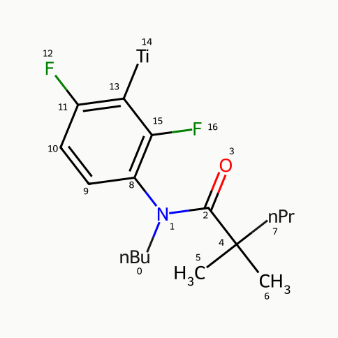 CCCCN(C(=O)C(C)(C)CCC)c1ccc(F)[c]([Ti])c1F